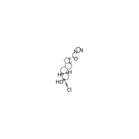 C[C@]12CCC3C(CC[C@@H]4C[C@@](O)(C#CCl)CC[C@H]34)C1CC[C@@H]2C(=O)Cn1ccnc1